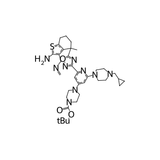 C=NCc1c(N)sc2c1C(C)(c1nc(-c3cc(N4CCN(C(=O)OC(C)(C)C)CC4)cc(N4CCN(CC5CC5)CC4)n3)no1)CCC2